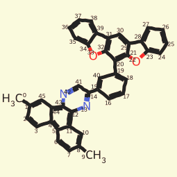 Cc1ccc2c3ccc(C)cc3c3nc(-c4cccc(-c5c6oc7ccccc7c6cc6c5oc5ccccc56)c4)cnc3c2c1